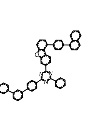 c1ccc(-c2cccc(-c3ccc(-c4nc(-c5ccccc5)nc(-c5ccc6c(c5)oc5cccc(-c7ccc(-c8cccc9ccccc89)cc7)c56)n4)cc3)c2)cc1